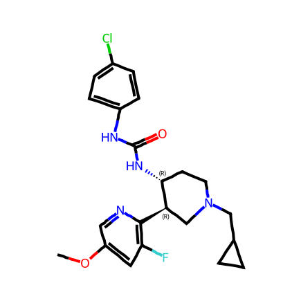 COc1cnc([C@@H]2CN(CC3CC3)CC[C@H]2NC(=O)Nc2ccc(Cl)cc2)c(F)c1